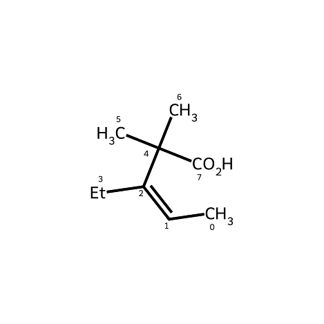 CC=C(CC)C(C)(C)C(=O)O